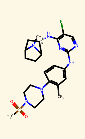 CN1C2CCC1[C@@H](Nc1nc(Nc3ccc(N4CCN(S(C)(=O)=O)CC4)c(C(F)(F)F)c3)ncc1F)C2